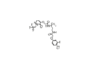 C=C(CCNC(=O)COc1ccc(Cl)c(F)c1)NC(=O)COc1ccnn(CC(F)(F)F)c1=O